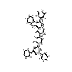 c1ccc(-c2nc(-c3ccccc3)nc(-c3ccc(-c4ccc5nc(-c6ccccc6)c6c7ccccc7sc6c5c4)cc3)n2)cc1